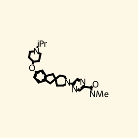 CNC(=O)c1cnc(N2CCC3(CC2)Cc2ccc(OC4CCN(C(C)C)CC4)cc2C3)cn1